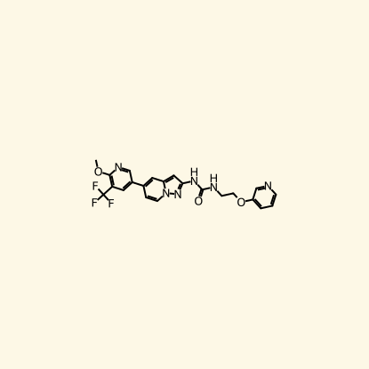 COc1ncc(-c2ccn3nc(NC(=O)NCCOc4cccnc4)cc3c2)cc1C(F)(F)F